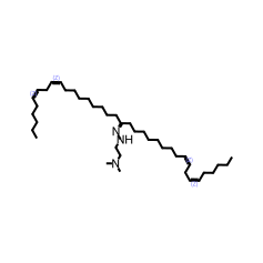 CCCCC/C=C\C/C=C\CCCCCCCCC(CCCCCCCC/C=C\C/C=C\CCCCC)=NNCCN(C)C